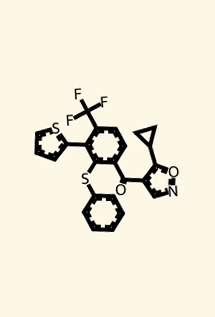 O=C(c1cnoc1C1CC1)c1ccc(C(F)(F)F)c(-c2cccs2)c1Sc1ccccc1